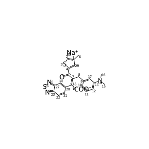 Cc1csc(C(=O)C(Cc2cccc(N(C)C)c2)=C(C(=O)[O-])c2ccc3nsnc3c2)c1.[Na+]